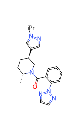 CC(C)n1cc([C@@H]2CC[C@@H](C)N(C(=O)c3ccccc3-n3nccn3)C2)cn1